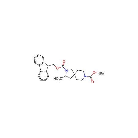 CC(C)(C)OC(=O)N1CCC2(CC1)CC(C(=O)O)N(C(=O)OCC1c3ccccc3-c3ccccc31)C2